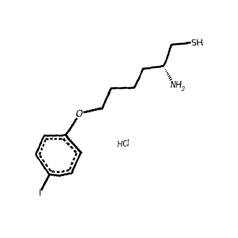 Cl.N[C@@H](CS)CCCCOc1ccc(I)cc1